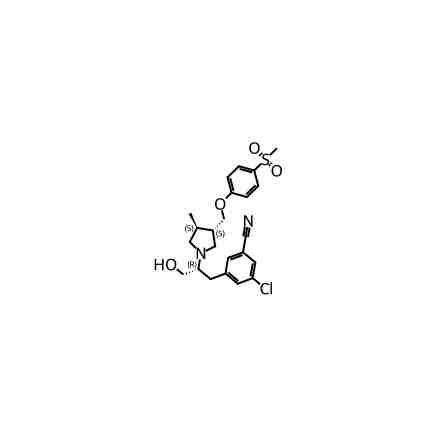 C[C@@H]1CN([C@@H](CO)Cc2cc(Cl)cc(C#N)c2)C[C@H]1COc1ccc(S(C)(=O)=O)cc1